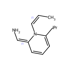 C/C=C\N1C(C(C)C)=CC=C/C1=C/N